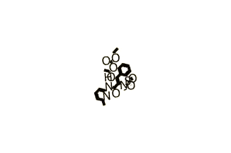 CCOC(=O)OC(C)OC1=C(C(=O)Nc2cccc(C)n2)N(C)S(=O)(=O)c2ccccc21